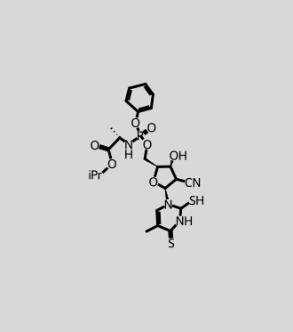 CC1=CN([C@H]2O[C@@H](COP(=O)(N[C@@H](C)C(=O)OC(C)C)Oc3ccccc3)[C@@H](O)C2C#N)C(S)NC1=S